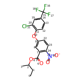 CCC(C)OC(=O)c1cc(Oc2ccc(C(F)(F)F)cc2Cl)ccc1[N+](=O)[O-]